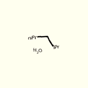 CCCCC(C)C.O